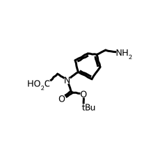 CC(C)(C)OC(=O)N(CC(=O)O)c1ccc(CN)cc1